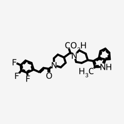 Cc1[nH]c2ccccc2c1C1CCN(C(C(=O)O)C2CCN(C(=O)C=Cc3ccc(F)c(F)c3F)CC2)CC1